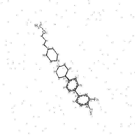 COCCC[C@H]1CC[C@H](C2CCC(c3ccc(-c4ccc(Cl)c(F)c4)cc3)CC2)CC1